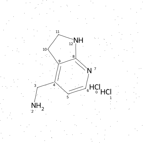 Cl.Cl.NCc1ccnc2c1CCN2